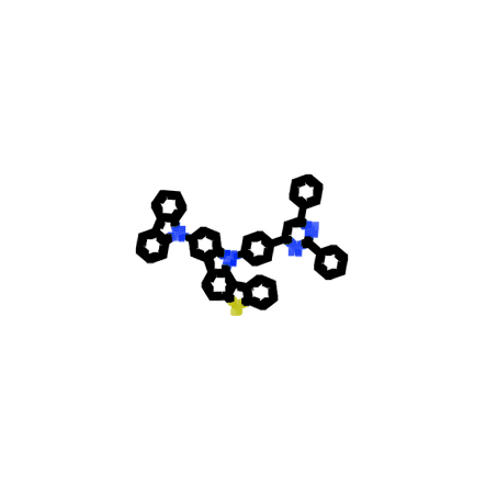 c1ccc(-c2cc(-c3ccc(-n4c5ccc(-n6c7ccccc7c7ccccc76)cc5c5ccc6sc7ccccc7c6c54)cc3)nc(-c3ccccc3)n2)cc1